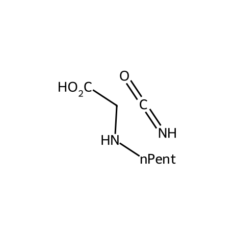 CCCCCNCC(=O)O.N=C=O